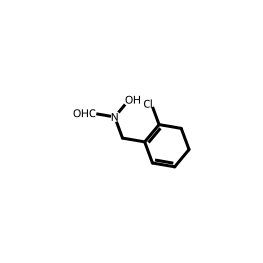 O=CN(O)CC1=C(Cl)CCC=C1